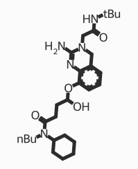 CCCCN(C(=O)CCC(O)Oc1cccc2c1N=C(N)N(CC(=O)NC(C)(C)C)C2)C1CCCCC1